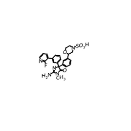 CN1C(=O)C(c2cccc(-c3cccnc3F)c2)(c2cccc(C3CN(S(=O)(=O)O)CCO3)c2)N=C1N